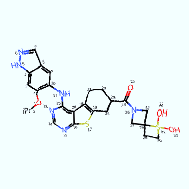 CC(C)Oc1cc2[nH]ncc2cc1Nc1ncnc2sc3c(c12)CCC(C(=O)N1CC2(CCS2(O)O)C1)C3